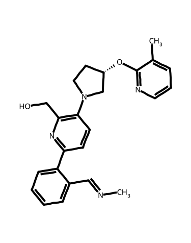 C/N=C/c1ccccc1-c1ccc(N2CC[C@H](Oc3ncccc3C)C2)c(CO)n1